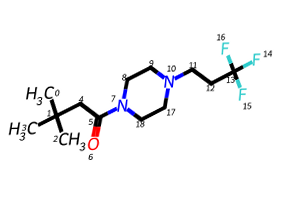 CC(C)(C)CC(=O)N1CCN(CCC(F)(F)F)CC1